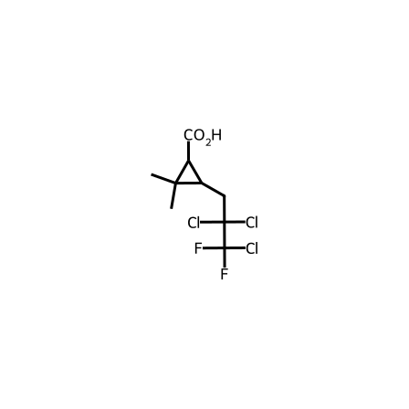 CC1(C)C(CC(Cl)(Cl)C(F)(F)Cl)C1C(=O)O